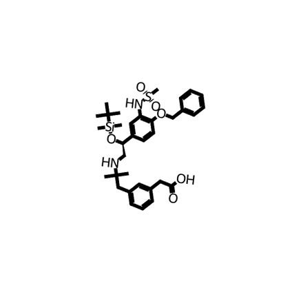 CC(C)(Cc1cccc(CC(=O)O)c1)NC[C@@H](O[Si](C)(C)C(C)(C)C)c1ccc(OCc2ccccc2)c(NS(C)(=O)=O)c1